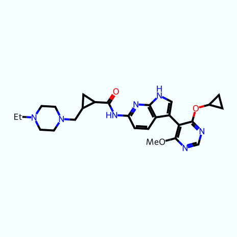 CCN1CCN(CC2CC2C(=O)Nc2ccc3c(-c4c(OC)ncnc4OC4CC4)c[nH]c3n2)CC1